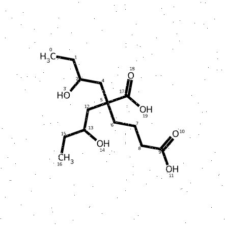 CCC(O)CC(CCCC(=O)O)(CC(O)CC)C(=O)O